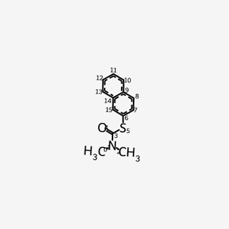 CN(C)C(=O)Sc1ccc2ccccc2c1